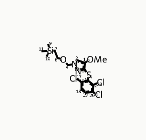 COc1cn(COCC[Si](C)(C)C)nc1Sc1c(Cl)ccc(Cl)c1Cl